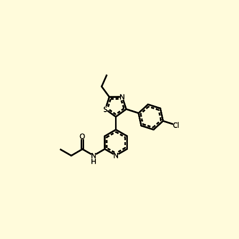 CCC(=O)Nc1cc(-c2sc(CC)nc2-c2ccc(Cl)cc2)ccn1